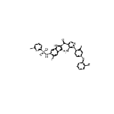 Cc1cccc(S(=O)(=O)Nc2cc3[nH]c(C(=O)c4cnn(-c5ccc(Oc6ccccc6F)cc5C)c4N)cc3cc2F)n1